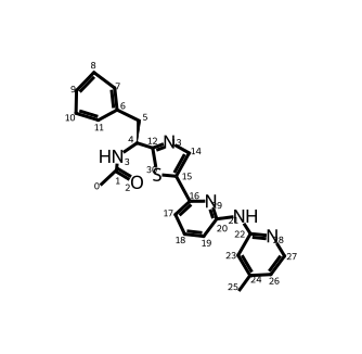 CC(=O)N[C@@H](Cc1ccccc1)c1ncc(-c2cccc(Nc3cc(C)ccn3)n2)s1